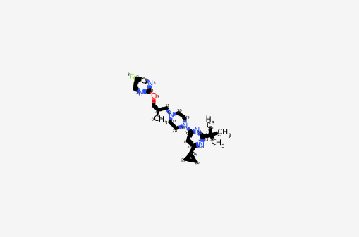 C[C@@H](COc1ncc(F)cn1)CN1CCN(c2cc(C3CC3)nc(C(C)(C)C)n2)CC1